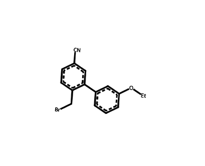 CCOc1cccc(-c2cc(C#N)ccc2CBr)c1